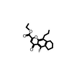 CCCc1c2c(c(F)c3c(=O)cc(C(=O)OCC)oc13)CCCC2